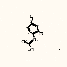 ClC(Cl)=Nc1ccc(Cl)cc1Cl